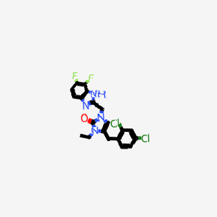 CCn1c(Cc2ccc(Cl)cc2Cl)cn(Cc2nc3ccc(F)c(F)c3[nH]2)c1=O